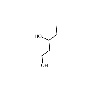 CCC(O)[CH]CO